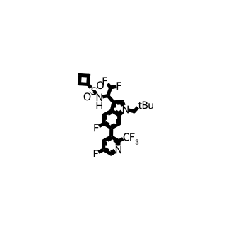 CC(C)(C)Cn1cc(C(NS(=O)(=O)C2CCC2)C(F)F)c2cc(F)c(-c3cc(F)cnc3C(F)(F)F)cc21